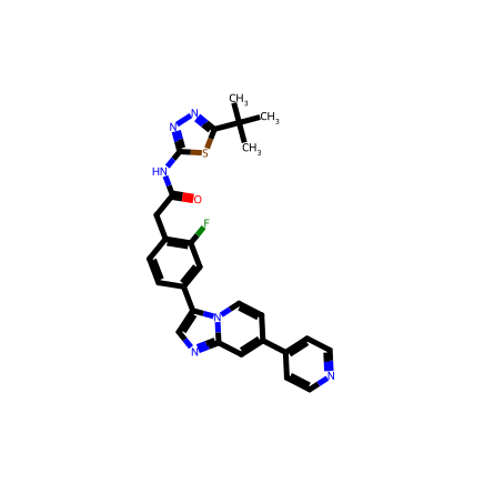 CC(C)(C)c1nnc(NC(=O)Cc2ccc(-c3cnc4cc(-c5ccncc5)ccn34)cc2F)s1